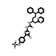 CS(=O)(=O)Nc1ccc(-c2nc(NC(=O)NC(CCC(c3ccccc3)c3ccccc3)Cc3ncccn3)sc2Cl)cc1